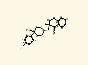 CC1(CN2CCC(O)(c3ccc(F)cc3)CC2)CCc2ccccc2C1=O